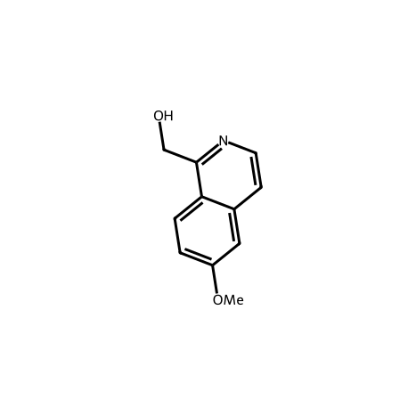 COc1ccc2c(CO)nccc2c1